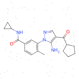 Cc1ccc(C(=O)NC2CC2)cc1-n1ncc(C(=O)C2CCCC2)c1N